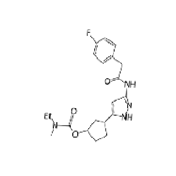 CCN(C)C(=O)OC1CCC(c2cc(NC(=O)Cc3ccc(F)cc3)n[nH]2)C1